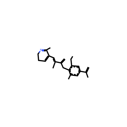 C=C(Cc1c(C)cc(C(=C)C)cc1CC)/C(C)=C/C1=CCCN=C1C